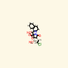 O=C1NC2([C@@H](O)C3CCCC4=C3CCCC4)C(=O)O[C@]2(CO)[C@H]1CCCl